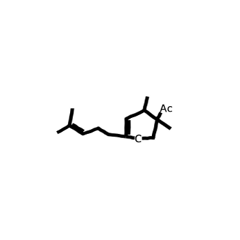 CC(=O)C1(C)CCC(CCC=C(C)C)=CC1C